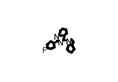 Fc1ccc(-c2nc(-n3ccc4ccccc43)c3ccccc3n2)cc1